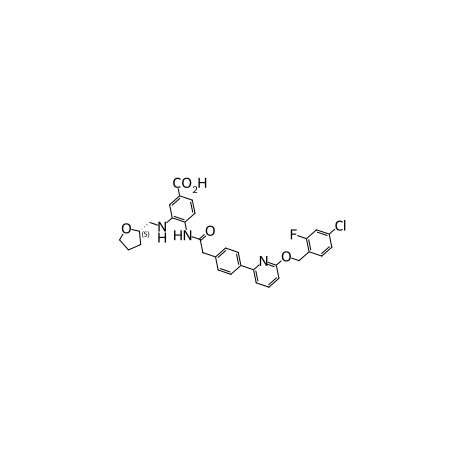 O=C(Cc1ccc(-c2cccc(OCc3ccc(Cl)cc3F)n2)cc1)Nc1ccc(C(=O)O)cc1NC[C@@H]1CCCO1